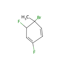 CC1(Br)C=CC(F)=CC1F